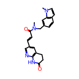 CN(Cc1ccc2ccn(C)c2c1)C(=O)C=Cc1cnc2c(c1)CCC(=O)N2